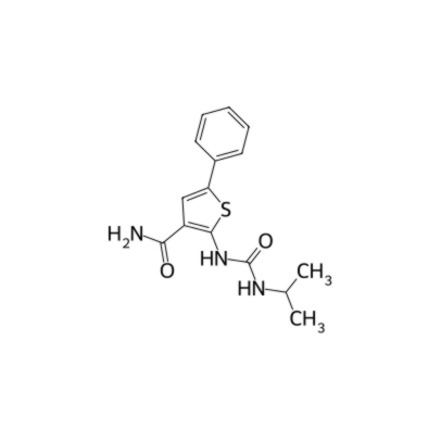 CC(C)NC(=O)Nc1sc(-c2ccccc2)cc1C(N)=O